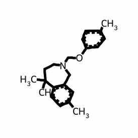 Cc1ccc(OCN2CCC(C)(C)c3ccc(C)cc3C2)cc1